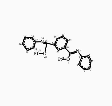 CCO/C(=N\c1ccccc1)c1cccc(/C(=N/c2ccccc2)OCC)c1